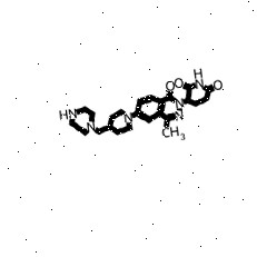 Cc1nn(C2CCC(=O)NC2=O)c(=O)c2ccc(N3CCC(CN4CCNCC4)CC3)cc12